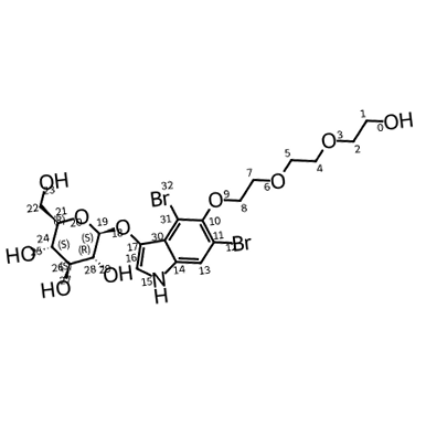 OCCOCCOCCOc1c(Br)cc2[nH]cc(O[C@@H]3O[C@H](CO)[C@@H](O)[C@H](O)[C@H]3O)c2c1Br